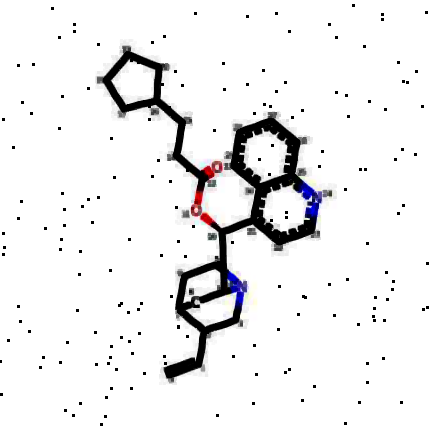 C=CC1CN2CCC1CC2[C@@H](OC(=O)CCC1CCCC1)c1ccnc2ccccc12